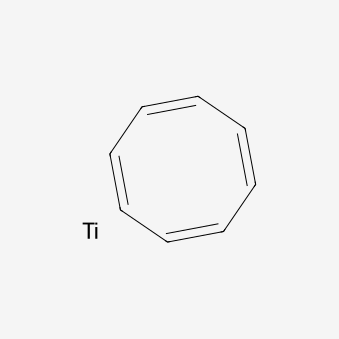 C1=CC=CC=CC=C1.[Ti]